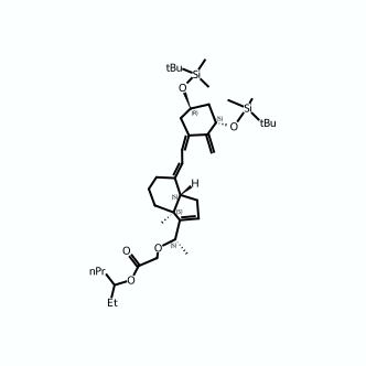 C=C1C(=CC=C2CCC[C@]3(C)C([C@H](C)OCC(=O)OC(CC)CCC)=CC[C@@H]23)C[C@@H](O[Si](C)(C)C(C)(C)C)C[C@@H]1O[Si](C)(C)C(C)(C)C